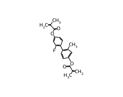 C=C(C)C(=O)Oc1ccc(-c2ccc(OC(=O)C(=C)C)cc2F)c(C)c1